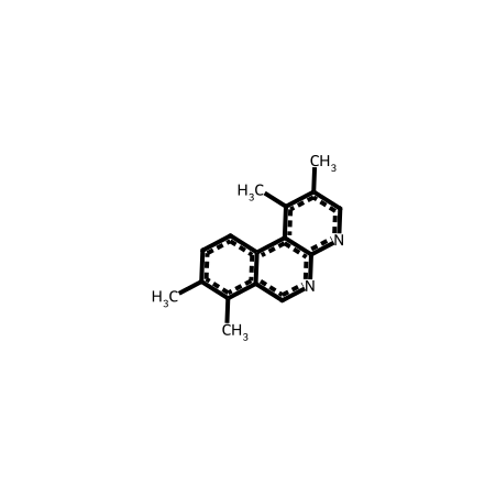 Cc1ccc2c(cnc3ncc(C)c(C)c32)c1C